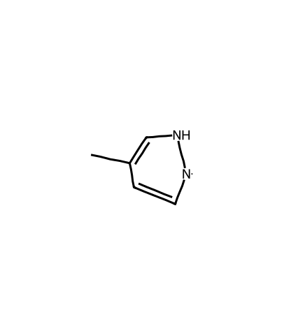 CC1=CN[N]C=C1